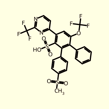 CS(=O)(=O)c1ccc(-c2c(-c3ccccc3)c(OC(F)(F)F)cc(-c3ccnc(C(F)(F)F)n3)c2S(=O)(=O)O)cc1